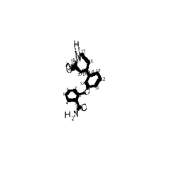 NC(=O)c1ccccc1Oc1cccc(-c2cc[nH]c(=O)c2)c1